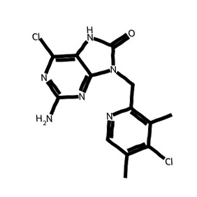 Cc1cnc(Cn2c(=O)[nH]c3c(Cl)nc(N)nc32)c(C)c1Cl